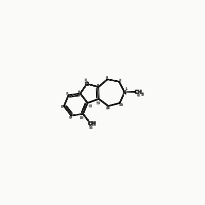 CN1CCc2oc3cccc(O)c3c2CC1